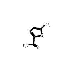 Cc1cnc(C(=O)C(F)(F)F)s1